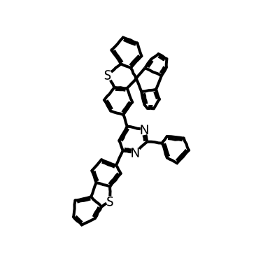 c1ccc(-c2nc(-c3ccc4c(c3)C3(c5ccccc5S4)c4ccccc4-c4ccccc43)cc(-c3ccc4c(c3)sc3ccccc34)n2)cc1